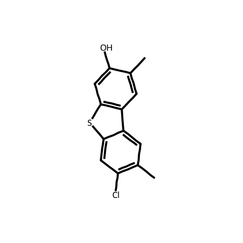 Cc1cc2c(cc1O)sc1cc(Cl)c(C)cc12